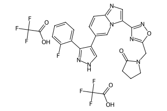 O=C(O)C(F)(F)F.O=C(O)C(F)(F)F.O=C1CCCN1Cc1nc(-c2cnc3ccc(-c4c[nH]nc4-c4ccccc4F)cn23)no1